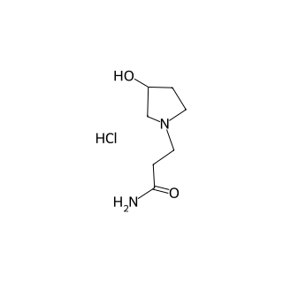 Cl.NC(=O)CCN1CCC(O)C1